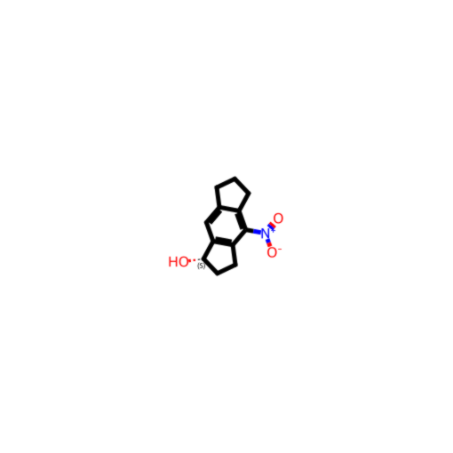 O=[N+]([O-])c1c2c(cc3c1CC[C@@H]3O)CCC2